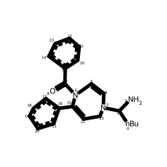 CCCCC(N)N1C=CN(C(=O)c2ccccc2)C(c2ccccc2)=CC1